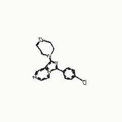 Clc1ccc(-c2nc(N3CCOCC3)c3cnccn23)cc1